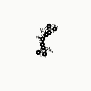 Cc1ccccc1N(c1ccc2cc3c(cc2c1)oc1c(C#N)c2oc4cc5cc(N(c6ccccc6C)c6ccccc6C(C)(C)C)ccc5cc4c2cc13)c1ccccc1C(C)(C)C